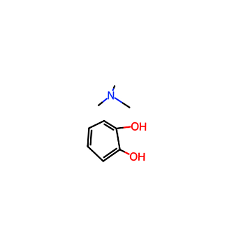 CN(C)C.Oc1ccccc1O